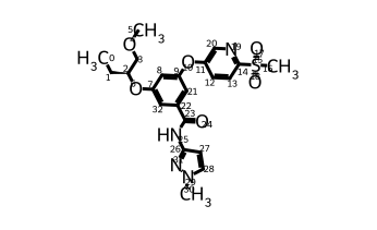 CC[C@@H](COC)Oc1cc(Oc2ccc(S(C)(=O)=O)nc2)cc(C(=O)Nc2ccn(C)n2)c1